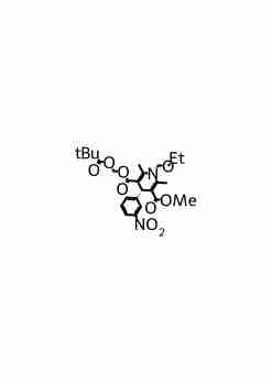 CCOCN1C(C)=C(C(=O)OC)[C@H](c2cccc([N+](=O)[O-])c2)C(C(=O)OCOC(=O)C(C)(C)C)=C1C